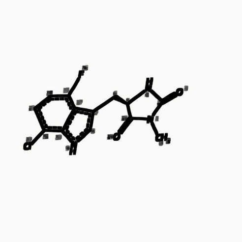 CN1C(=O)N[C@H](Cc2c[nH]c3c(Cl)ccc(F)c23)C1=O